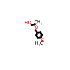 COc1ccc(COC(C)CO)cc1